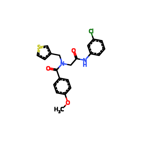 COc1ccc(C(=O)N(CC(=O)Nc2cccc(Cl)c2)Cc2ccsc2)cc1